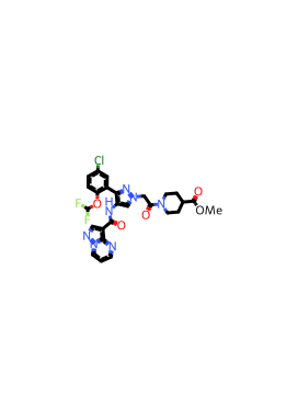 COC(=O)C1CCN(C(=O)Cn2cc(NC(=O)c3cnn4cccnc34)c(-c3cc(Cl)ccc3OC(F)F)n2)CC1